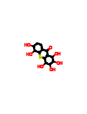 O=c1c2ccc(O)c(O)c2sc2c(O)c(O)c(O)c(O)c12